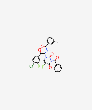 Cc1cccc(C(=O)NC(C(=O)c2ccc(Cl)c(F)c2)n2cc(F)c(=O)n(C(=O)c3ccccc3)c2=O)c1